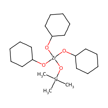 C[Si](C)(C)[O][Zr]([O]C1CCCCC1)([O]C1CCCCC1)[O]C1CCCCC1